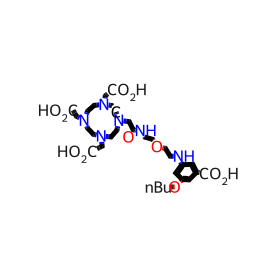 CCCCOc1cc(NCCOCCNC(=O)CN2CCN(CC(=O)O)CCN(CC(=O)O)CCN(CC(=O)O)CC2)cc(C(=O)O)c1